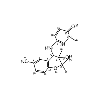 Cn1nc(NC2c3cc(C#N)ccc3OC(C)(C)C2(C)O)ccc1=O